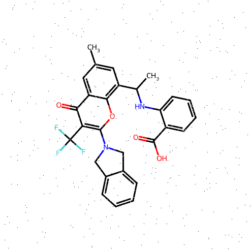 Cc1cc(C(C)Nc2ccccc2C(=O)O)c2oc(N3Cc4ccccc4C3)c(C(F)(F)F)c(=O)c2c1